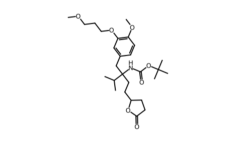 COCCCOc1cc(CC(CCC2CCC(=O)O2)(NC(=O)OC(C)(C)C)C(C)C)ccc1OC